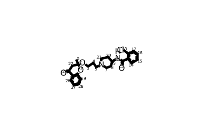 CC1(OCCCN2CCC(NC(=O)c3ccccc3Cl)CC2)CC(=O)c2ccccc2O1